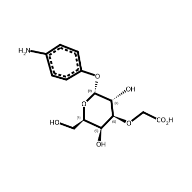 Nc1ccc(O[C@H]2O[C@H](CO)[C@H](O)[C@H](OCC(=O)O)[C@H]2O)cc1